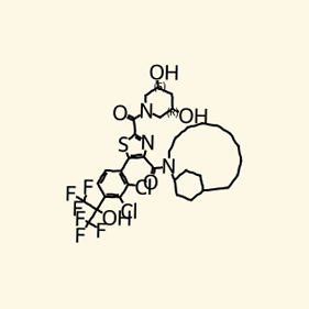 O=C(c1nc(C(=O)N2CCCCCCCCCCC3CCC2CC3)c(-c2ccc(C(O)(C(F)(F)F)C(F)(F)F)c(Cl)c2Cl)s1)N1C[C@H](O)C[C@H](O)C1